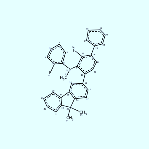 CN(c1ccccc1F)c1c(-c2ccc3c(c2)-c2ccccc2C3(C)C)ccc(-c2ccccc2)c1F